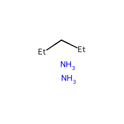 CCCCC.N.N